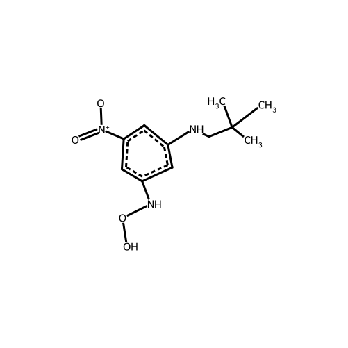 CC(C)(C)CNc1cc(NOO)cc([N+](=O)[O-])c1